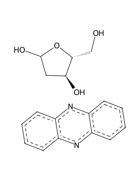 OC[C@H]1OC(O)C[C@@H]1O.c1ccc2nc3ccccc3nc2c1